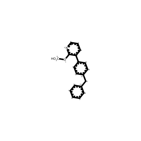 O=C(O)Oc1ncccc1-c1ccc(Cc2ccccc2)cc1